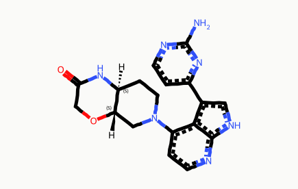 Nc1nccc(-c2c[nH]c3nccc(N4CC[C@@H]5NC(=O)CO[C@H]5C4)c23)n1